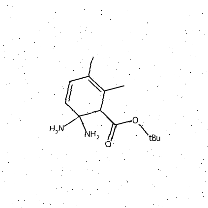 CC1=C(C)C(C(=O)OC(C)(C)C)C(N)(N)C=C1